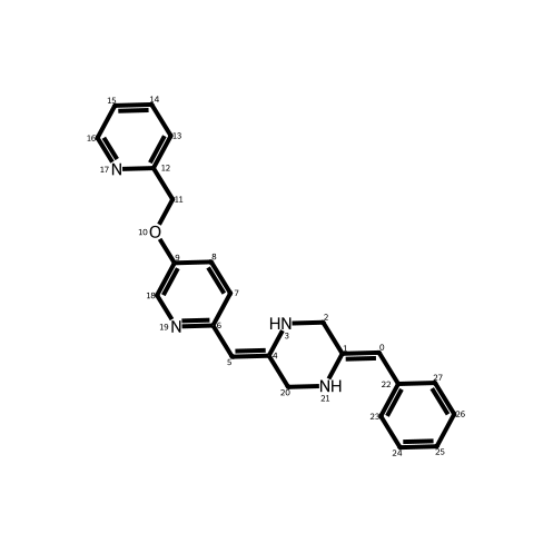 C(=C1CNC(=Cc2ccc(OCc3ccccn3)cn2)CN1)c1ccccc1